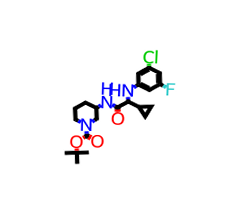 CC(C)(C)OC(=O)N1CCCC(NC(=O)C(Nc2cc(F)cc(Cl)c2)C2CC2)C1